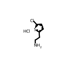 Cl.NCCc1ccc(Cl)s1